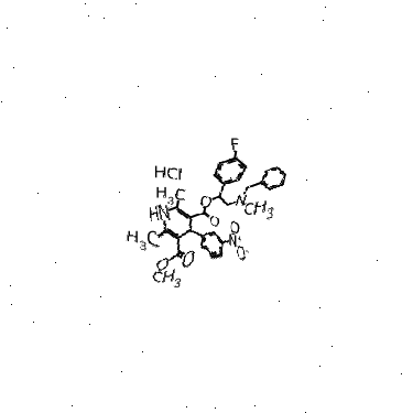 COC(=O)C1=C(C)NC(C)=C(C(=O)OC(CN(C)Cc2ccccc2)c2ccc(F)cc2)C1c1cccc([N+](=O)[O-])c1.Cl